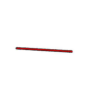 S=S=S=S=S=S=S=S=S=S=S=S=S=S=S=S=S=S=S=S=S=S=S=S=S=S=S=S=S=S=S=S=S=S=S=S=S=S=S=S=S=S=S=S=S=S=S=S=S=S=S=S=S=S=S=S=S=S=S=S=S=S=S=S=S=S=S=S=S=S=S=S=S=S=S=S=S=S=S=S=S=S=S=S=S=S=S=S=S=S=S=S=S=S=S=S=S=S=S=S=S=S=S=S=S=S=S=S=S=S=S=S=S=S=S=S=S=S=S=S=S=S=S=S=S=S=S=S=S=S=S=S=S=S=S=S=S=S=S=S=S=S